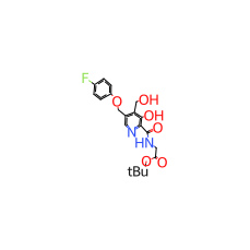 CC(C)(C)OC(=O)CNC(=O)c1ncc(COc2ccc(F)cc2)c(CO)c1O